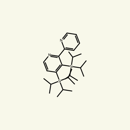 CC(C)[Si](c1ccnc(-c2ccccn2)c1[Si](C(C)C)(C(C)C)C(C)C)(C(C)C)C(C)C